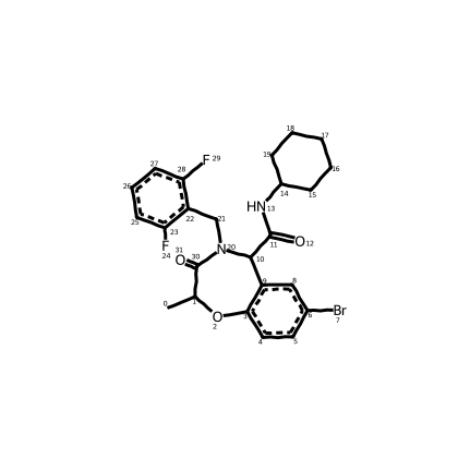 CC1Oc2ccc(Br)cc2C(C(=O)NC2CCCCC2)N(Cc2c(F)cccc2F)C1=O